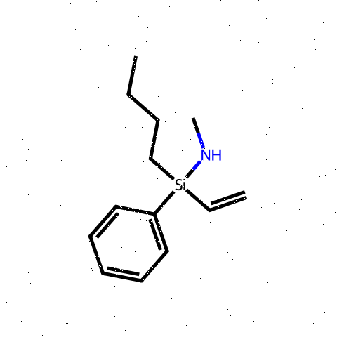 C=C[Si](CCCC)(NC)c1ccccc1